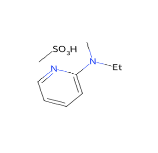 CCN(C)c1ccccn1.CS(=O)(=O)O